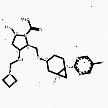 COC(=O)N1[C@H](C)C[C@H](NCN2CCC2)[C@@H]1CO[C@H]1CC[C@@]2(c3ncc(F)cn3)C[C@H]2C1